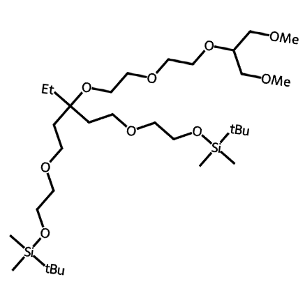 CCC(CCOCCO[Si](C)(C)C(C)(C)C)(CCOCCO[Si](C)(C)C(C)(C)C)OCCOCCOC(COC)COC